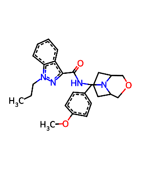 CCCn1nc(C(=O)NC2CC3COCC(C2)N3Cc2ccc(OC)cc2)c2ccccc21